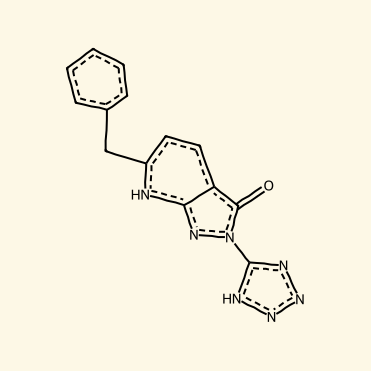 O=c1c2ccc(Cc3ccccc3)[nH]c-2nn1-c1nnn[nH]1